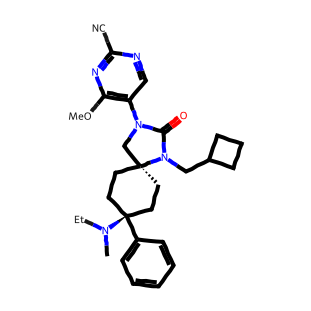 CCN(C)[C@]1(c2ccccc2)CC[C@]2(CC1)CN(c1cnc(C#N)nc1OC)C(=O)N2CC1CCC1